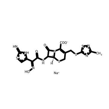 Cc1nsc(SCC2=C(C(=O)[O-])N3C(=O)C(NC(=O)C(=NO)c4csc(=N)[nH]4)[C@@H]3SC2)n1.[Na+]